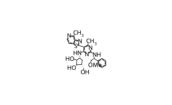 COC[C@@H](Nc1nc(C)c(-c2nc3c(C)nccc3s2)c(N[C@@H]2C[C@H](CO)[C@@H](O)[C@H]2O)n1)c1ccccc1